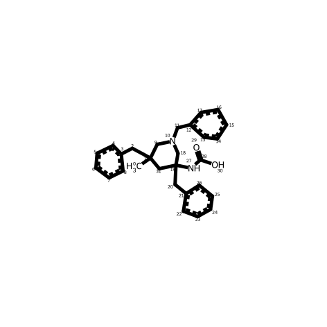 CC1(Cc2ccccc2)CN(Cc2ccccc2)CC(Cc2ccccc2)(NC(=O)O)C1